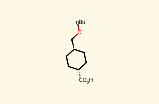 CCCCOC[C@H]1CC[C@H](C(=O)O)CC1